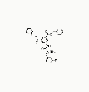 N[C@H](Cc1cccc(F)c1)C(=O)Nc1cc(C(=O)OCc2ccccc2)cc(C(=O)OCc2ccccc2)c1